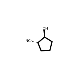 N#C[C@H]1CCC[C@@H]1O